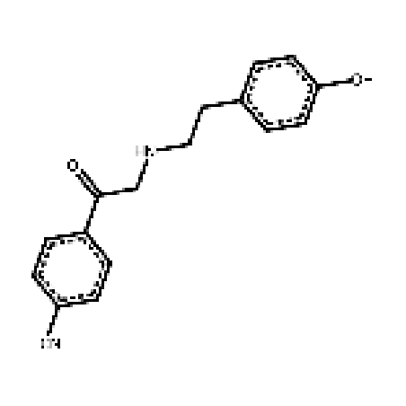 N#Cc1ccc(C(=O)CNCCc2ccc(O)cc2)cc1